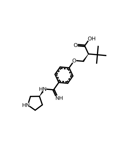 CC(C)(C)[C@@H](COc1ccc(C(=N)N[C@H]2CCNC2)cc1)C(=O)O